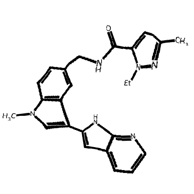 CCn1nc(C)cc1C(=O)NCc1ccc2c(c1)c(-c1cc3cccnc3[nH]1)cn2C